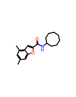 Cc1cc(C)c2cc(C(=O)NC3CCCCCCC3)oc2c1